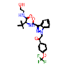 CC(C)(C)C(NC(=O)c1nn(CC(=O)c2ccc(OC(F)(F)F)cc2)c2ccccc12)C(=O)NCCO